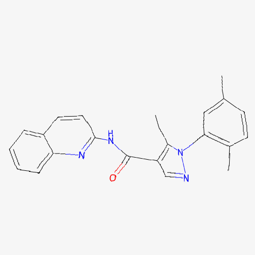 Cc1ccc(C)c(-n2ncc(C(=O)Nc3ccc4ccccc4n3)c2C)c1